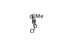 COC(=O)c1ccc(/N=N/c2ccc(OCCCCCl)cc2)cc1